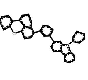 c1ccc(-n2c3ccccc3c3ccc(-c4cccc(-c5ccc6c7c(cccc57)-c5ccccc5O6)c4)cc32)cc1